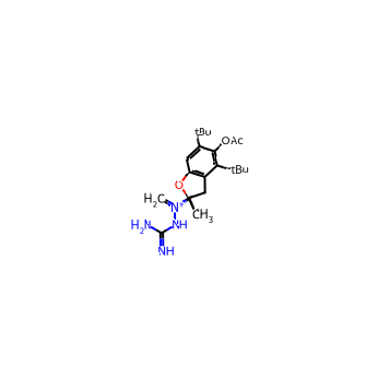 C=[N+](NC(=N)N)C1(C)Cc2c(cc(C(C)(C)C)c(OC(C)=O)c2C(C)(C)C)O1